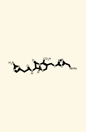 CC(=O)NCc1nnc(SCC2=C(C(=O)O)N3C(=O)C(NC(=O)Cc4csc(N)n4)[C@H]3SC2)s1